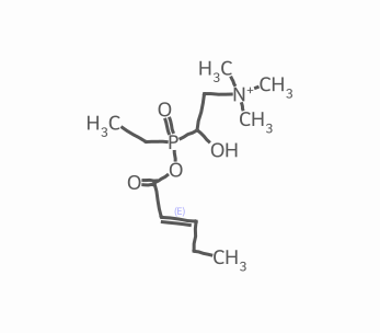 CC/C=C/C(=O)OP(=O)(CC)C(O)C[N+](C)(C)C